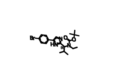 CCN(C(=O)OC(C)(C)C)[C@H](c1ncc(-c2ccc(Br)cc2)[nH]1)C(C)C